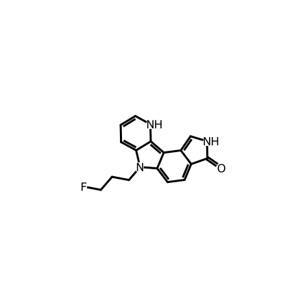 O=c1[nH]cc2c1ccc1c2c2[nH]cccc2n1CCCF